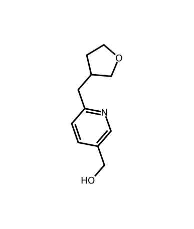 OCc1ccc(CC2CCOC2)nc1